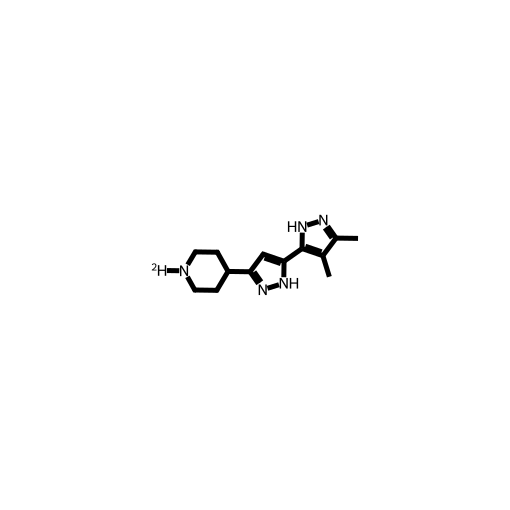 [2H]N1CCC(c2cc(-c3[nH]nc(C)c3C)[nH]n2)CC1